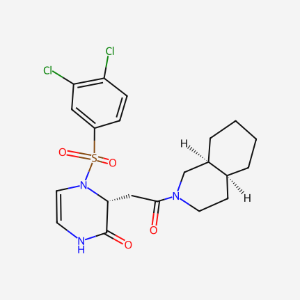 O=C1NC=CN(S(=O)(=O)c2ccc(Cl)c(Cl)c2)[C@@H]1CC(=O)N1CC[C@@H]2CCCC[C@@H]2C1